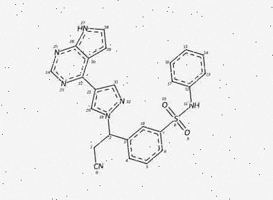 N#CCC(c1cccc(S(=O)(=O)Nc2ccccc2)c1)n1cc(-c2ncnc3[nH]ccc23)cn1